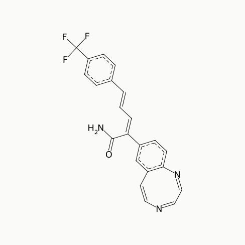 NC(=O)C(=CC=Cc1ccc(C(F)(F)F)cc1)c1ccc2c(c1)C=CN=CC=N2